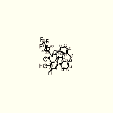 O=C1c2c(O)c(=O)ccn2N([C@@H]2c3ccccc3SCc3cccc(Cl)c32)CN1C12CC(C(F)(F)F)(C1)C2